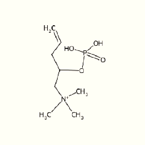 C=CCC(C[N+](C)(C)C)OP(=O)(O)O